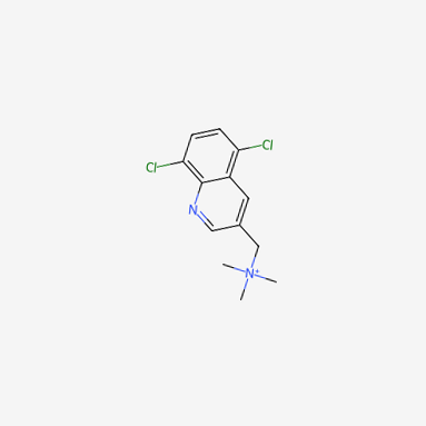 C[N+](C)(C)Cc1cnc2c(Cl)ccc(Cl)c2c1